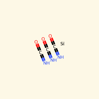 N=C=O.N=C=O.N=C=O.[Si]